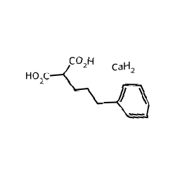 O=C(O)C(CCCc1ccccc1)C(=O)O.[CaH2]